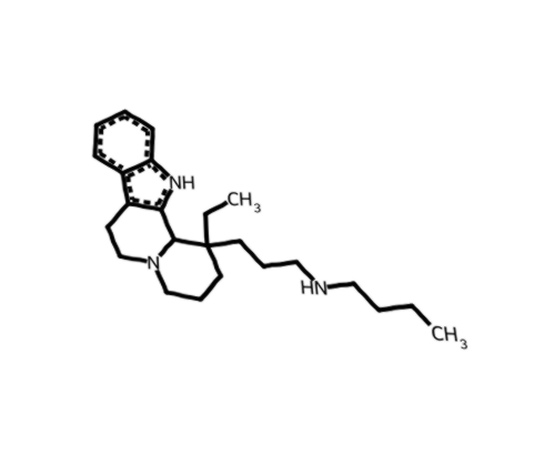 CCCCNCCCC1(CC)CCCN2CCc3c([nH]c4ccccc34)C21